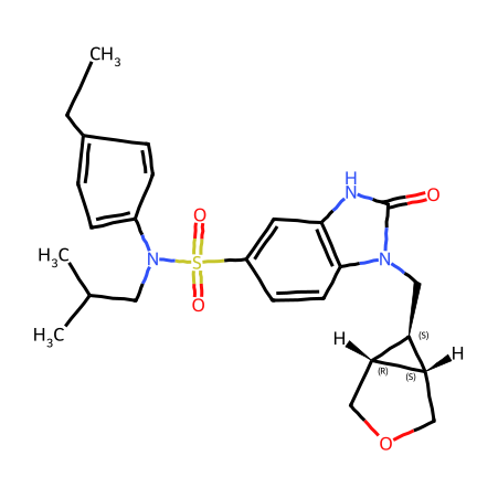 CCc1ccc(N(CC(C)C)S(=O)(=O)c2ccc3c(c2)[nH]c(=O)n3C[C@H]2[C@@H]3COC[C@@H]32)cc1